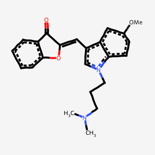 COc1ccc2c(c1)c(/C=C1\Oc3c[c]c[c]c3C1=O)cn2CCCN(C)C